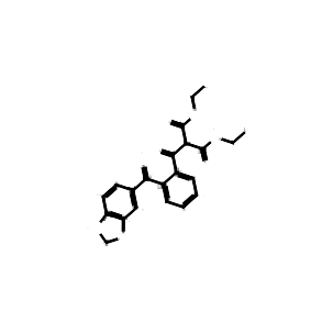 CCOC(=O)C(C(=O)OCC)C(=O)c1ccccc1C(=O)c1ccc2c(c1)OCO2